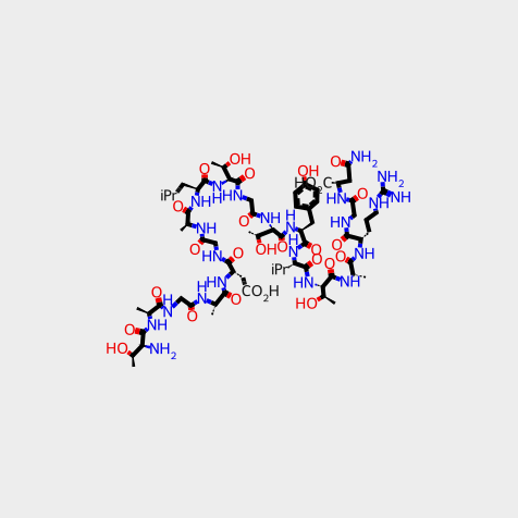 CC(C)C[C@H](NC(=O)[C@H](C)NC(=O)CNC(=O)[C@H](CC(=O)O)NC(=O)[C@H](C)NC(=O)CNC(=O)[C@H](C)NC(=O)[C@@H](N)[C@@H](C)O)C(=O)N[C@H](C(=O)NCC(=O)N[C@H](C(=O)N[C@@H](Cc1ccc(O)cc1)C(=O)N[C@H](C(=O)N[C@H](C(=O)N[C@@H](C)C(=O)N[C@@H](CCCNC(=N)N)C(=O)NCC(=O)N[C@@H](CC(N)=O)C(=O)O)[C@@H](C)O)C(C)C)[C@@H](C)O)[C@@H](C)O